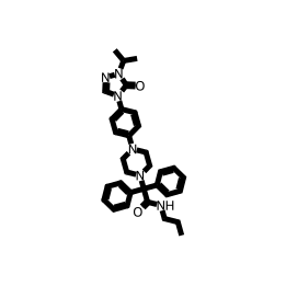 CCCNC(=O)C(c1ccccc1)(c1ccccc1)N1CCN(c2ccc(-n3cnn(C(C)C)c3=O)cc2)CC1